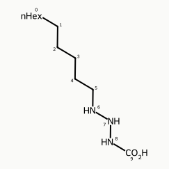 CCCCCCCCCCCNNNC(=O)O